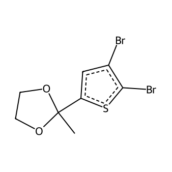 CC1(c2cc(Br)c(Br)s2)OCCO1